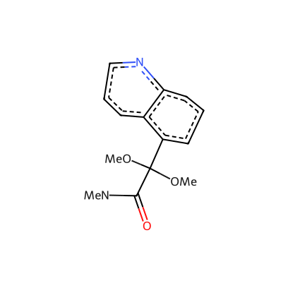 CNC(=O)C(OC)(OC)c1cccc2ncccc12